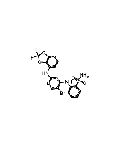 NS(=O)(=O)c1ccccc1Nc1nc(Nc2cccc3c2OC(F)(F)O3)ncc1Br